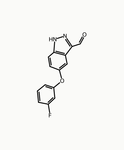 O=Cc1n[nH]c2ccc(Oc3cccc(F)c3)cc12